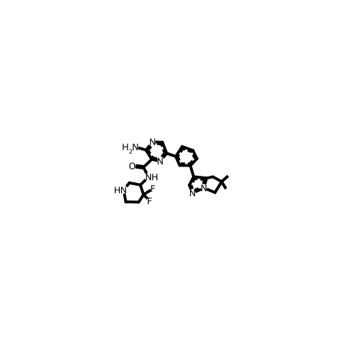 CC1(C)Cc2c(-c3cccc(-c4cnc(N)c(C(=O)NC5CNCCC5(F)F)n4)c3)cnn2C1